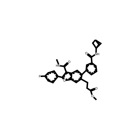 CNC(=O)c1c(-c2ccc(F)cc2)oc2cc(CCC(=O)OC)c(-c3cccc(C(=O)NC45CC(C4)C5)c3)cc12